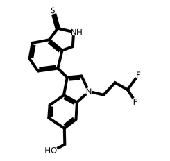 OCc1ccc2c(-c3cccc4c3CNC4=S)cn(CCC(F)F)c2c1